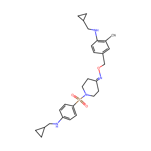 N#Cc1cc(CON=C2CCN(S(=O)(=O)c3ccc(NCC4CC4)cc3)CC2)ccc1NCC1CC1